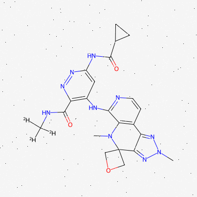 [2H]C([2H])([2H])NC(=O)c1nnc(NC(=O)C2CC2)cc1Nc1nccc2c1N(C)C1(COC1)c1nn(C)nc1-2